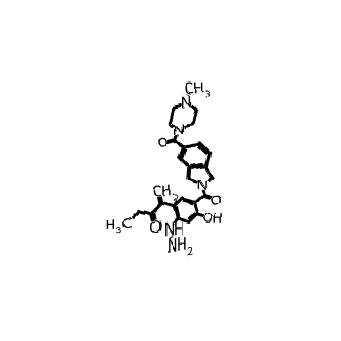 C=C(C(=O)CC)c1cc(C(=O)N2Cc3ccc(C(=O)N4CCN(C)CC4)cc3C2)c(O)cc1NN